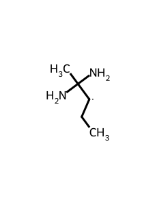 CC[CH]C(C)(N)N